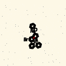 C1=CC(c2nc3ccccc3o2)=CCC1=C[P+](c1ccccc1)(c1ccccc1)c1ccccc1.[Br-]